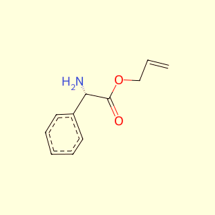 C=CCOC(=O)[C@@H](N)c1ccccc1